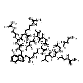 CC(C)[C@H](NC(=O)[C@H](CCCNC(=N)N)NC(=O)[C@H](C)NC(=O)[C@@H](NC(=O)[C@@H](NC(=O)[C@H](CCCNC(=N)N)NC(=O)[C@H](CCCNC(=N)N)NC(=O)[C@@H](N)Cc1c[nH]c2ccccc12)[C@@H](C)O)C(C)C)C(=O)N[C@@H](CCCNC(=N)N)C(=O)N[C@@H](CCCCN)C(=O)O